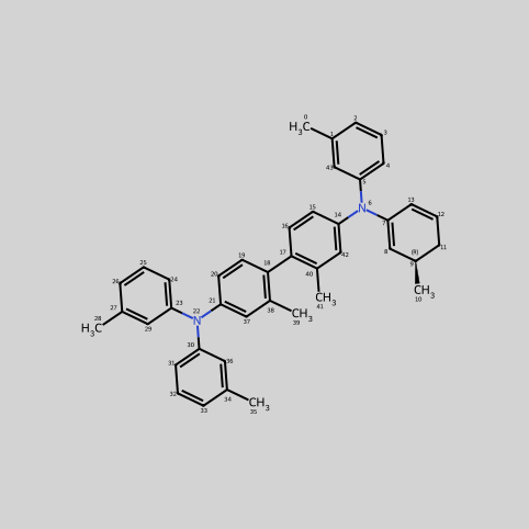 Cc1cccc(N(C2=C[C@H](C)CC=C2)c2ccc(-c3ccc(N(c4cccc(C)c4)c4cccc(C)c4)cc3C)c(C)c2)c1